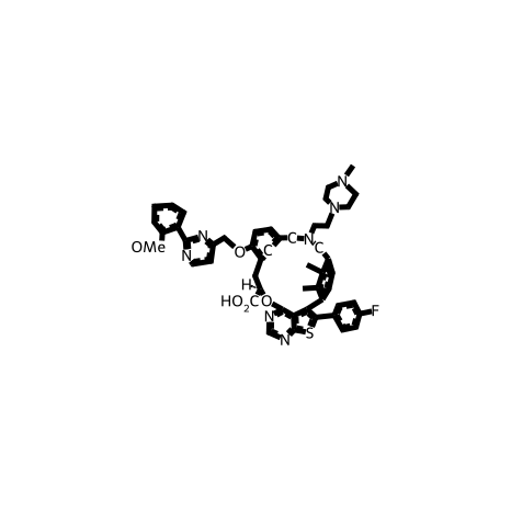 COc1ccccc1-c1nccc(COc2ccc3cc2C[C@H](C(=O)O)Oc2ncnc4sc(-c5ccc(F)cc5)c(c24)-c2ccc(c(C)c2C)CN(CCN2CCN(C)CC2)C3)n1